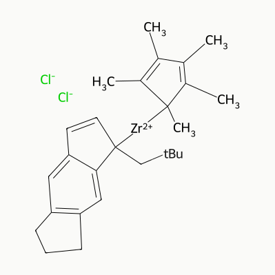 CC1=C(C)[C](C)([Zr+2][C]2(CC(C)(C)C)C=Cc3cc4c(cc32)CCC4)C(C)=C1C.[Cl-].[Cl-]